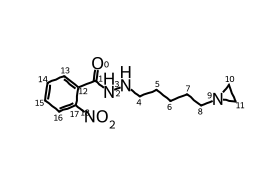 O=C(NNCCCCCN1CC1)c1ccccc1[N+](=O)[O-]